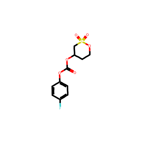 O=C(Oc1ccc(F)cc1)OC1CCOS(=O)(=O)C1